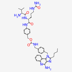 CCCCc1nc2c(N)nc3ccccc3c2n1Cc1ccc(CNC(=O)OCc2ccc(NC(=O)[C@H](CCCNC(N)=O)NC(=O)[C@@H](N)C(C)C)cc2)cc1